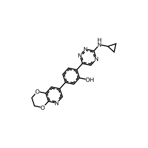 Oc1cc(-c2cnc3c(c2)OCCO3)ccc1-c1cnc(NC2CC2)nn1